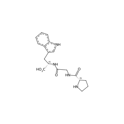 O=C(CNC(=O)[C@@H]1CCCN1)N[C@@H](Cc1c[nH]c2ccccc12)C(=O)O